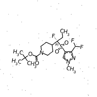 CC[C@](F)(C1CCN(C(=O)OC(C)(C)C)CC1)S(=O)(=O)c1cn(C)nc1C(F)F